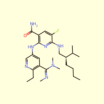 CCCC[C@@H](CNc1nc(Nc2cnc(CC)c(/C(=N\C)N(C)C)c2)c(C(N)=O)cc1F)C(C)C